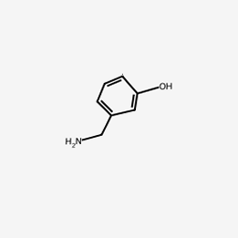 NCc1cc[c]c(O)c1